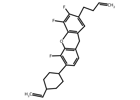 C=CCCc1cc2c(c(F)c1F)Oc1c(ccc(C3CCC(C=C)CC3)c1F)C2